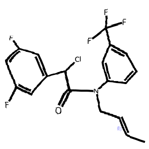 C/C=C/CN(C(=O)C(Cl)c1cc(F)cc(F)c1)c1cccc(C(F)(F)F)c1